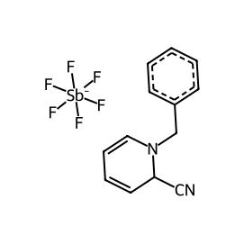 N#CC1C=CC=CN1Cc1ccccc1.[F][Sb-]([F])([F])([F])([F])[F]